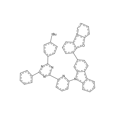 CC(C)(C)c1ccc(-c2nc(-c3ccccc3)nc(-c3cccc(-n4c5ccccc5c5ccc(-c6cccc7c6oc6ccccc67)cc54)n3)n2)cc1